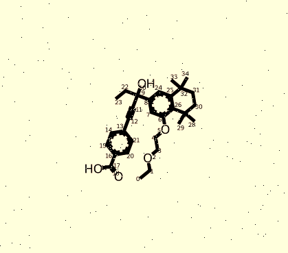 CCOCCOc1cc(C(O)(C#Cc2ccc(C(=O)O)cc2)CC)cc2c1C(C)(C)CCC2(C)C